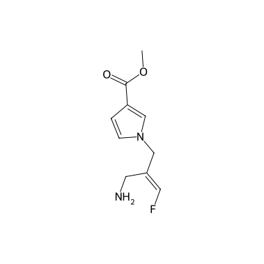 COC(=O)c1ccn(C/C(=C/F)CN)c1